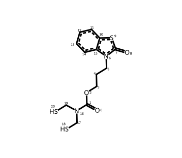 O=C(OCCCn1c(=O)sc2ccccc21)N(CS)CS